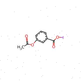 CC(=O)Oc1cccc(C(=O)OI)c1